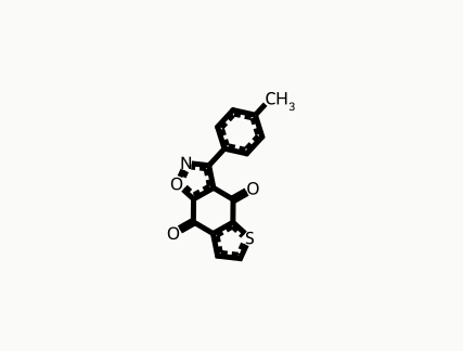 Cc1ccc(-c2noc3c2C(=O)c2sccc2C3=O)cc1